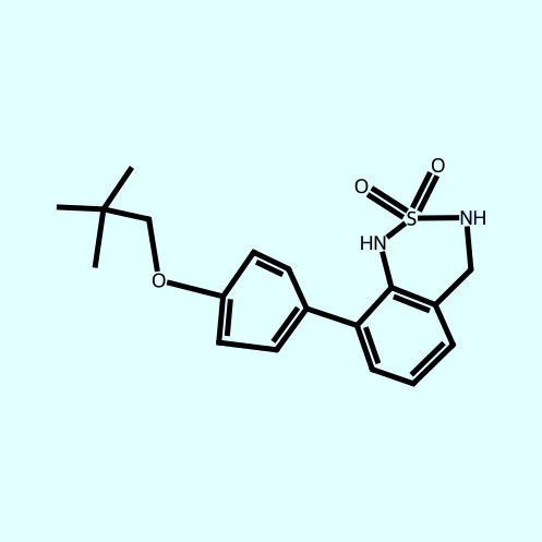 CC(C)(C)COc1ccc(-c2cccc3c2NS(=O)(=O)NC3)cc1